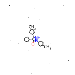 Cc1ccc(-c2[nH]n(-c3ccc(C)cc3)c(=O)c2-c2ccccc2)cc1